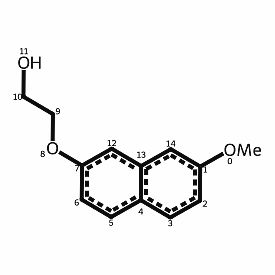 COc1ccc2ccc(OCCO)cc2c1